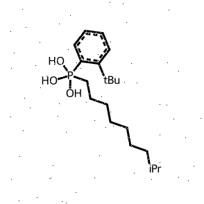 CC(C)CCCCCCCP(O)(O)(O)c1ccccc1C(C)(C)C